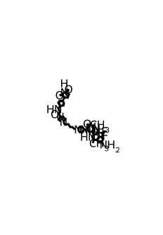 CC(Nc1ncnc2c1cc(N1CCN(CCCCCN3CCN(C(=O)CNc4ccc(C5CCC(=O)NC5=O)cc4)CC3)CC1)c(=O)n2C)c1cc(N)cc(C(F)(F)F)c1